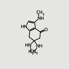 CNc1c[nH]c2c1C(=O)CC(NC)(NC)C2